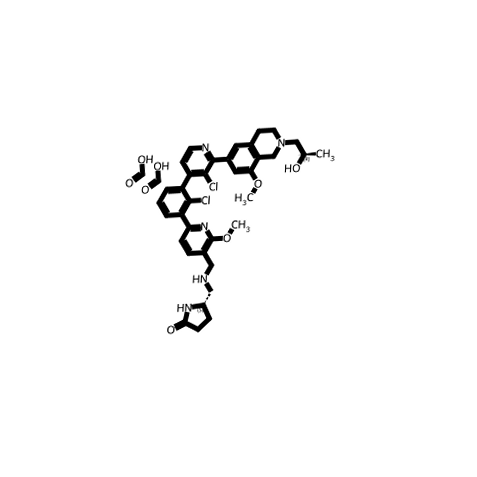 COc1cc(-c2nccc(-c3cccc(-c4ccc(CNC[C@@H]5CCC(=O)N5)c(OC)n4)c3Cl)c2Cl)cc2c1CN(C[C@@H](C)O)CC2.O=CO.O=CO